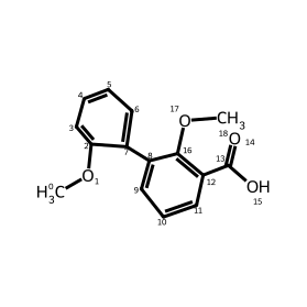 COc1ccccc1-c1cccc(C(=O)O)c1OC